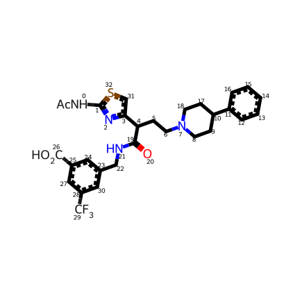 CC(=O)Nc1nc(C(CCN2CCC(c3ccccc3)CC2)C(=O)NCc2cc(C(=O)O)cc(C(F)(F)F)c2)cs1